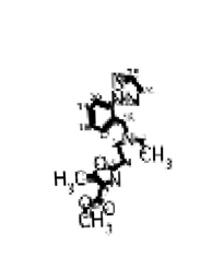 CCN(CCc1nc(C(=O)OC)c(C)o1)Cc1ccccc1-n1nccn1